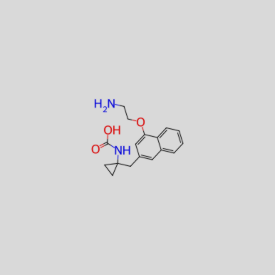 NCCOc1cc(CC2(NC(=O)O)CC2)cc2ccccc12